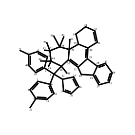 Cc1ccc(C(c2ccc(C)cc2)(C2C=CC=C2)C2(C)C3=C4Cc5ccccc5C4=C4C=CCCC4C3(C)C(C)(C)C(C)(C)C2(C)C)cc1